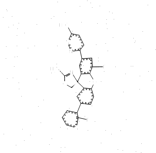 Cc1ccc(-c2cc(F)c3c(c2)[C@]2(COC(N)=N2)c2cc(-c4cccnc4F)ccc2O3)nn1